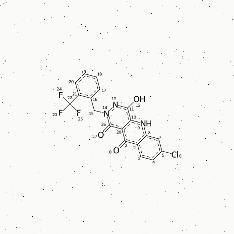 O=c1c2ccc(Cl)cc2[nH]c2c(O)nn(Cc3ccccc3C(F)(F)F)c(=O)c12